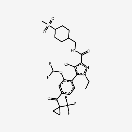 CCn1nc(C(=O)NCC2CCC(S(C)(=O)=O)CC2)c(Cl)c1-c1ccc(C(=O)C2(C(F)(F)F)CC2)cc1OC(F)F